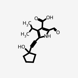 CC(C)c1c(C#CC2(O)CCCC2)[nH]c(C=O)c1C(=O)O